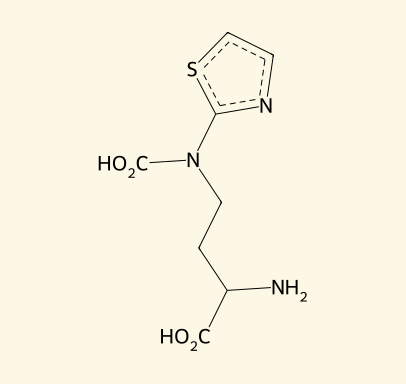 NC(CCN(C(=O)O)c1nccs1)C(=O)O